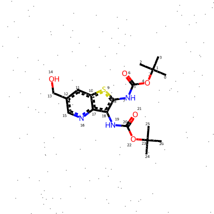 CC(C)(C)OC(=O)Nc1sc2cc(CO)cnc2c1NC(=O)OC(C)(C)C